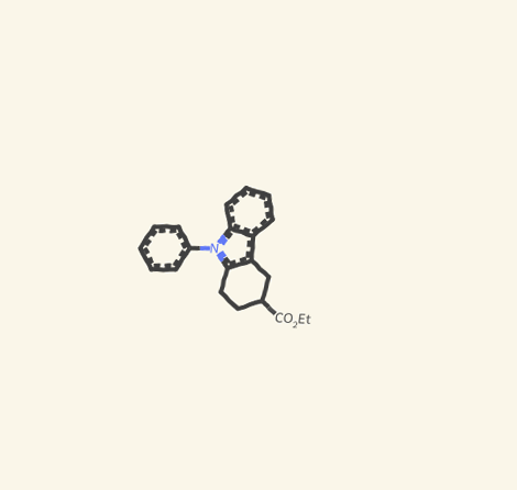 CCOC(=O)C1CCc2c(c3ccccc3n2-c2ccccc2)C1